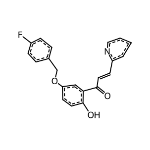 O=C(C=Cc1ccccn1)c1cc(OCc2ccc(F)cc2)ccc1O